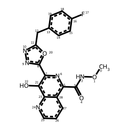 CONC(=O)c1nc(-c2nnc(Cc3ccc(F)cc3)o2)c(O)c2ncccc12